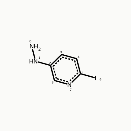 NNc1ccc(I)nc1